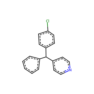 Clc1ccc(C(c2ccccc2)c2ccncc2)cc1